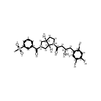 CS(=O)(=O)c1cccc(C(=O)N2C[C@@H]3CCN(C(=O)C[C@H](N)Cc4cc(F)c(F)cc4F)[C@@H]3C2)c1